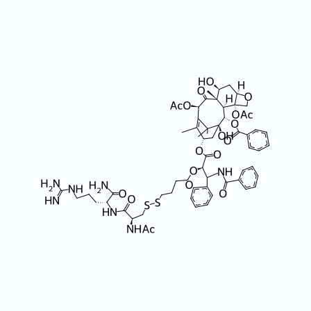 CC(=O)N[C@H](CSSCCCC(=O)O[C@@H](C(=O)O[C@H]1C[C@@]2(O)[C@@H](OC(=O)c3ccccc3)[C@@H]3[C@]4(OC(C)=O)CO[C@@H]4C[C@H](O)[C@@]3(C)C(=O)[C@H](OC(C)=O)C(=C1C)C2(C)C)C(NC(=O)c1ccccc1)c1ccccc1)C(=O)N[C@H](CCCNC(=N)N)C(N)=O